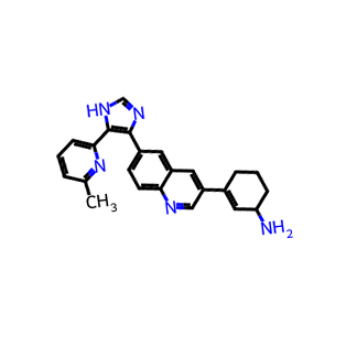 Cc1cccc(-c2[nH]cnc2-c2ccc3ncc(C4=CC(N)CCC4)cc3c2)n1